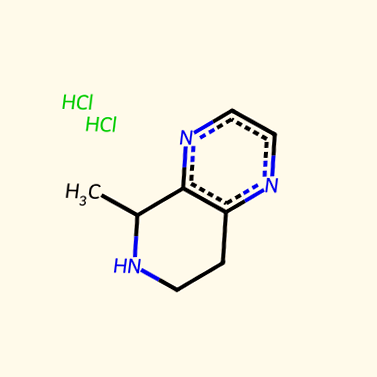 CC1NCCc2nccnc21.Cl.Cl